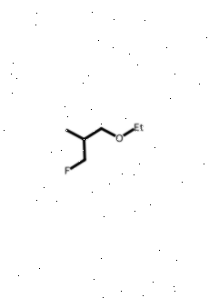 [CH2]COCC(C)CF